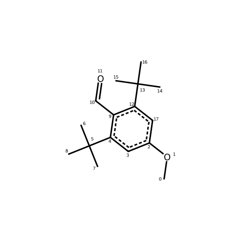 COc1cc(C(C)(C)C)c(C=O)c(C(C)(C)C)c1